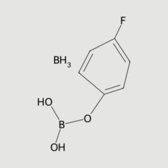 B.OB(O)Oc1ccc(F)cc1